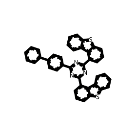 c1ccc(-c2ccc(-c3nc(-c4cccc5sc6ccccc6c45)nc(-c4cccc5sc6ccccc6c45)n3)cc2)cc1